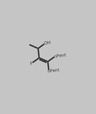 CCCCCC(CCCCC)=C(F)C(C)O